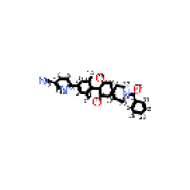 Cc1cc(-c2ccc(C#N)cn2)cc(C)c1C1C(=O)CC2(CCN(C(=O)c3ccccc3)CC2)CC1=O